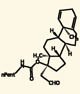 CCCCCNC(=O)O[C@]1(CC=O)CC[C@H]2[C@@H]3CCC4=CCC=C[C@]4(C)[C@H]3CC[C@@]21C